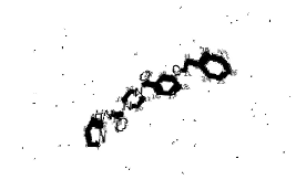 O=C(Nc1ccccn1)N1CCN(C(=O)c2cccc(OCCC3CCCCC3)c2)CC1